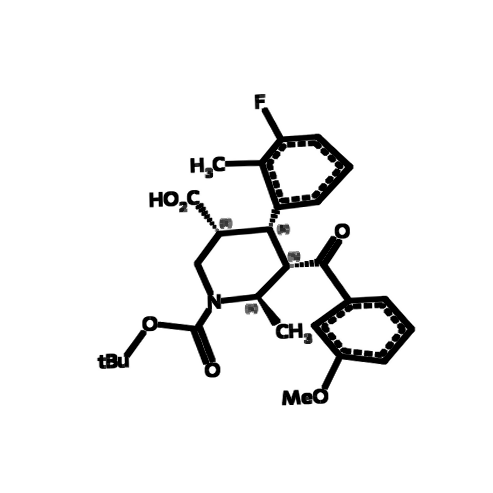 COc1cccc(C(=O)[C@H]2[C@@H](c3cccc(F)c3C)[C@@H](C(=O)O)CN(C(=O)OC(C)(C)C)[C@@H]2C)c1